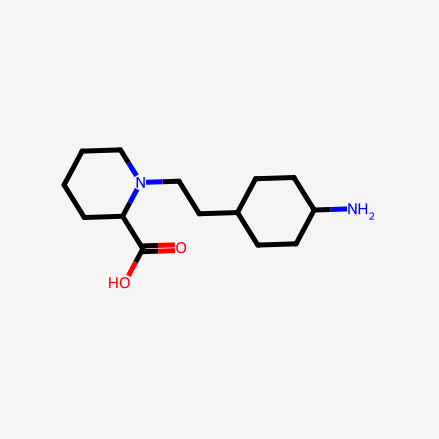 NC1CCC(CCN2CCCCC2C(=O)O)CC1